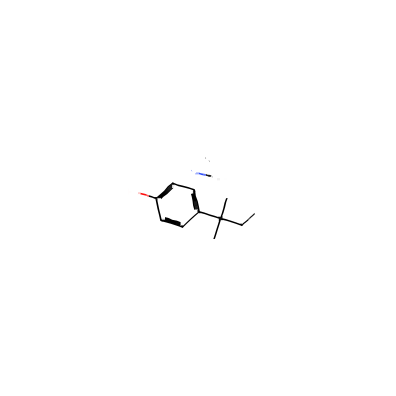 CC(C)(C)CC(C)(C)c1ccc(O)cc1.CCCCN.[Ni]